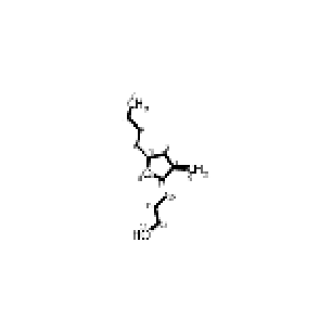 C=C1C[C@H](CCCC)O[C@H]1CCCO